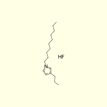 CCCCCCCCCCn1ccc(CCC)c1.F